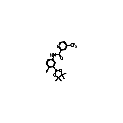 CC1(C)OB(c2cc(NC(=O)c3cc(C(F)(F)F)ccn3)ccc2F)OC1(C)C